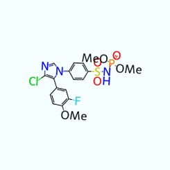 COc1ccc(-c2c(Cl)ncn2-c2ccc(S(=O)(=O)NP(=O)(OC)OC)cc2)cc1F